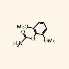 COc1cccc(OC)c1OC(N)=O